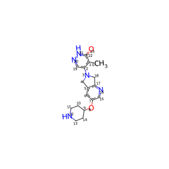 Cc1c(N2Cc3cc(OC4CCNCC4)cnc3C2)cn[nH]c1=O